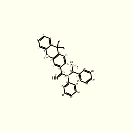 CC1(C)c2ccccc2Oc2cc(C(=N)N(c3ccccc3)C(N)c3ccccc3)ccc21